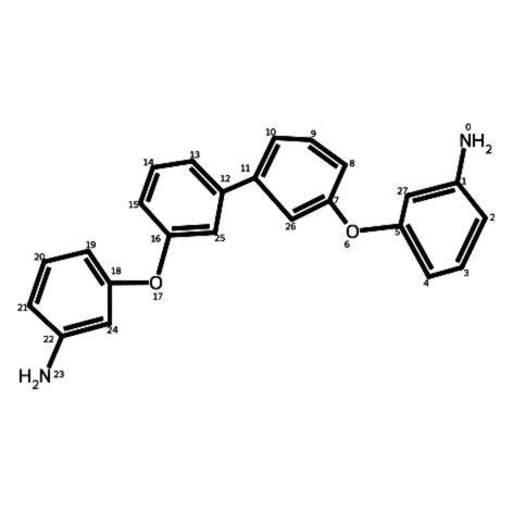 Nc1cccc(Oc2cccc(-c3cccc(Oc4cccc(N)c4)c3)c2)c1